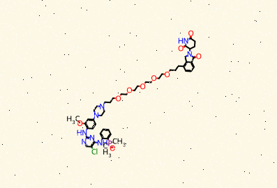 COc1cc(N2CCN(CCCOCCOCCOCCOCCOCCCc3cccc4c3CN(C3CCC(=O)NC3=O)C4=O)CC2)ccc1Nc1ncc(Cl)c(Nc2ccccc2P(C)(C)=O)n1